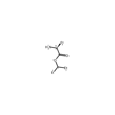 CCC(CC)OC(=O)[C@@H](N)CC